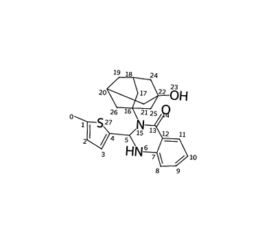 Cc1ccc(C2Nc3ccccc3C(=O)N2C23CC4CC(CC(O)(C4)C2)C3)s1